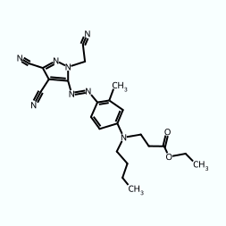 CCCCN(CCC(=O)OCC)c1ccc(N=Nc2c(C#N)c(C#N)nn2CC#N)c(C)c1